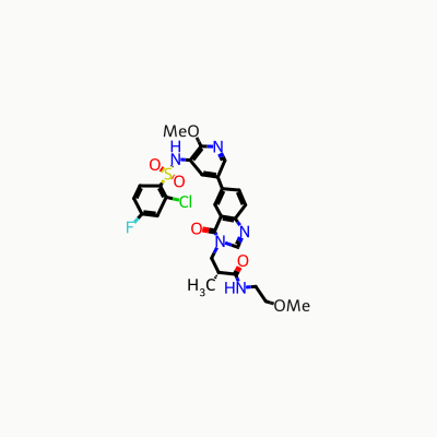 COCCNC(=O)[C@H](C)Cn1cnc2ccc(-c3cnc(OC)c(NS(=O)(=O)c4ccc(F)cc4Cl)c3)cc2c1=O